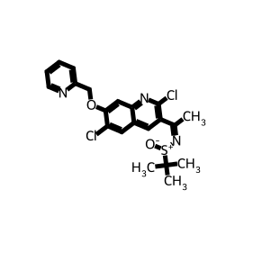 C/C(=N/[S+]([O-])C(C)(C)C)c1cc2cc(Cl)c(OCc3ccccn3)cc2nc1Cl